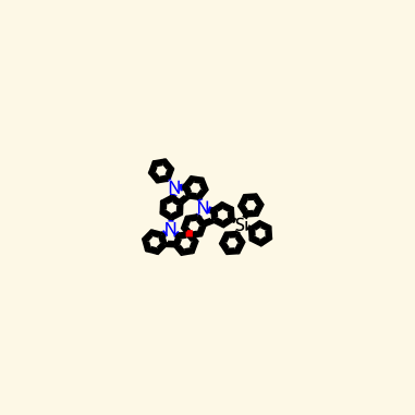 c1ccc(-n2c3ccc(-n4c5ccccc5c5ccccc54)cc3c3c(-n4c5ccccc5c5cc([Si](c6ccccc6)(c6ccccc6)c6ccccc6)ccc54)cccc32)cc1